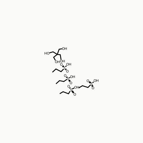 CCCS(=O)(=O)O.CCCS(=O)(=O)O.CCCS(=O)(=O)O.CCCS(=O)(=O)O.OCC(CO)(CO)CO